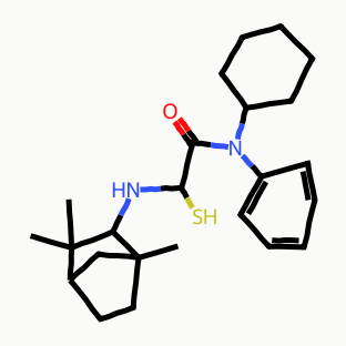 CC12CCC(C1)C(C)(C)C2NC(S)C(=O)N(c1ccccc1)C1CCCCC1